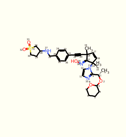 C[C@H](OC1CCCCO1)c1nccn1C1(C)C=CC(C)(C#Cc2ccc(CNC3CCS(=O)(=O)C3)cc2)/C1=N\O